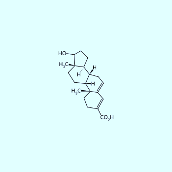 C[C@]12CCC(C(=O)O)=CC1=CC[C@@H]1[C@H]2CC[C@]2(C)C(O)CC[C@@H]12